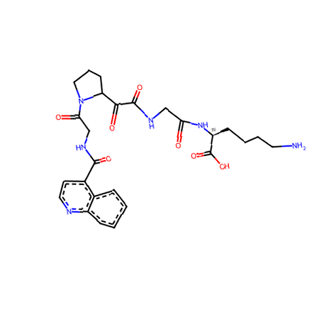 NCCCC[C@H](NC(=O)CNC(=O)C(=O)C1CCCN1C(=O)CNC(=O)c1ccnc2ccccc12)C(=O)O